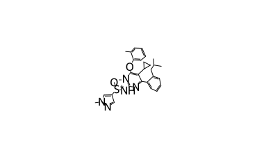 Cc1ccccc1Oc1nc(N[S+]([O-])c2cnn(C)c2)nc(-c2ccccc2CC(C)C)c1C1CC1